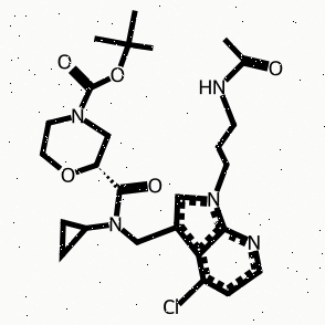 CC(=O)NCCCn1cc(CN(C(=O)[C@H]2CN(C(=O)OC(C)(C)C)CCO2)C2CC2)c2c(Cl)ccnc21